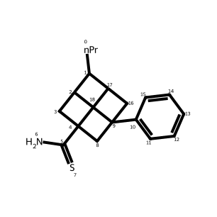 CCCC1C2CC3(C(N)=S)CC4(c5ccccc5)CC1C234